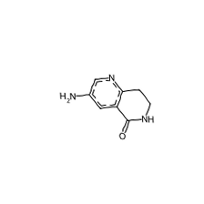 Nc1cnc2c(c1)C(=O)NCC2